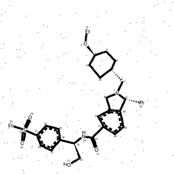 CCO[C@H]1CC[C@H](CN2Cc3cc(C(=O)N[C@@H](CO)c4ccc(S(=O)(=O)CC)cc4)ccc3[C@H]2C(C)C)CC1